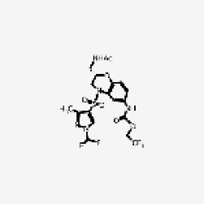 CC(=O)NC[C@H]1CN(S(=O)(=O)c2cn(C(F)F)nc2C)c2cc(NC(=O)OCC(F)(F)F)ccc2O1